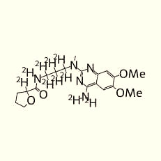 [2H]N([2H])c1nc(N(C)C([2H])([2H])C([2H])([2H])C([2H])([2H])N([2H])C(=O)C2([2H])CCCO2)nc2cc(OC)c(OC)cc12